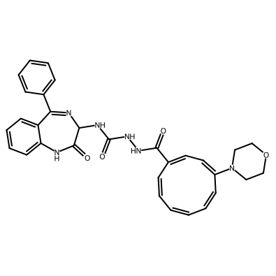 O=C(NNC(=O)c1ccccccc(N2CCOCC2)cc1)NC1N=C(c2ccccc2)c2ccccc2NC1=O